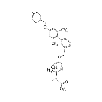 C=C(/N=C\C(=C/C)OCc1cccc(-c2c(C)cc(OCC3CCOCC3)cc2C)c1)[C@@H]1C[C@H]1C(=O)O